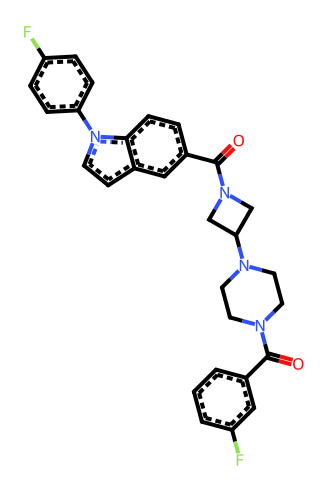 O=C(c1cccc(F)c1)N1CCN(C2CN(C(=O)c3ccc4c(ccn4-c4ccc(F)cc4)c3)C2)CC1